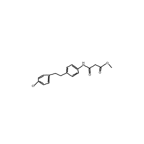 COC(=O)CC(=O)Nc1ccc(CCc2ccc(Cl)cc2)cc1